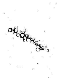 CCc1cc(OCC=C(Cl)Cl)cc(C)c1OCCCCCOCC=C(Cl)C(F)(F)F